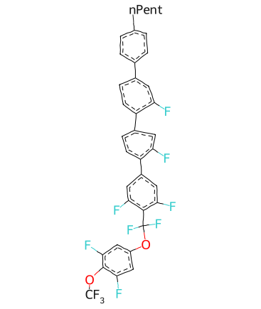 CCCCCc1ccc(-c2ccc(-c3ccc(-c4cc(F)c(C(F)(F)Oc5cc(F)c(OC(F)(F)F)c(F)c5)c(F)c4)c(F)c3)c(F)c2)cc1